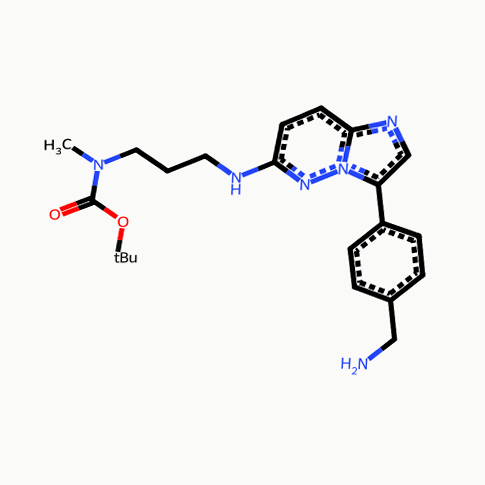 CN(CCCNc1ccc2ncc(-c3ccc(CN)cc3)n2n1)C(=O)OC(C)(C)C